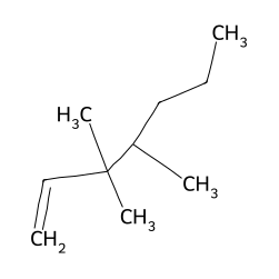 C=CC(C)(C)C(C)CCC